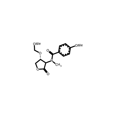 COCO[C@H]1COC(=O)C1N(C)C(=O)c1ccc(OC)cc1